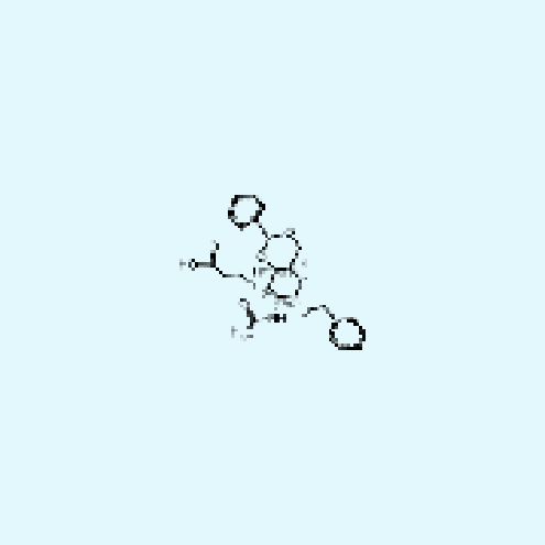 CC(=O)N[C@H]1[C@@H](OCc2ccccc2)O[C@@H]2COC(c3ccccc3)O[C@H]2[C@H]1OCCC(=O)O